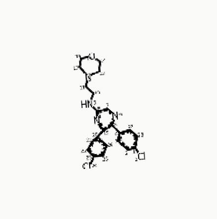 Clc1ccc(-c2ncc(NCCN3CCOCC3)nc2-c2ccc(Cl)cc2)cc1